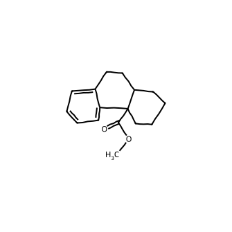 COC(=O)C12CCCCC1CCc1ccccc12